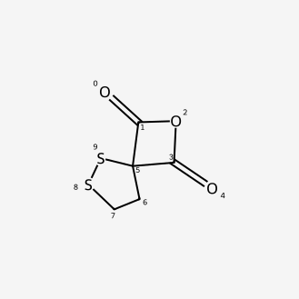 O=C1OC(=O)C12CCSS2